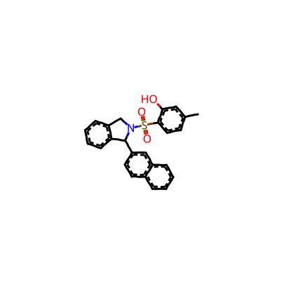 Cc1ccc(S(=O)(=O)N2Cc3ccccc3C2c2ccc3ccccc3c2)c(O)c1